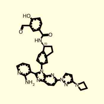 Nc1ncccc1-c1nc2ccc(-n3ccc(N4CCC4)n3)nc2n1-c1ccc2c(c1)CC[C@@H]2NC(=O)c1ccc(O)c(C=O)c1